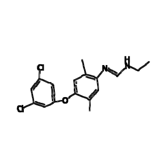 CCNC=Nc1cc(C)c(Oc2cc(Cl)cc(Cl)c2)cc1C